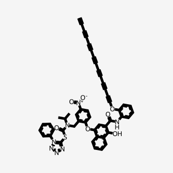 C#CC#CC#CC#CC#CC#CC#COc1ccccc1NC(=O)c1cc(Oc2ccc([N+](=O)[O-])cc2CN(C(=O)Sc2nnnn2-c2ccccc2)C(C)C)c2ccccc2c1O